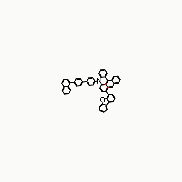 c1ccc(N(c2ccc(-c3ccc(-c4cccc5ccccc45)cc3)cc2)c2ccc(-c3cccc4c3oc3ccccc34)cc2)c(-c2cccc3ccccc23)c1